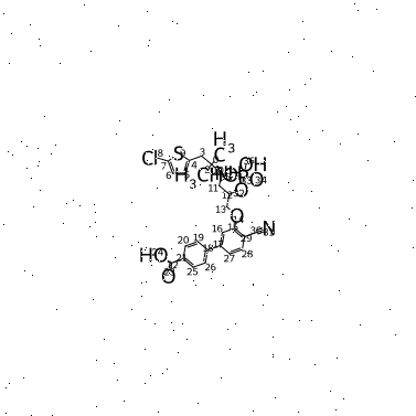 CC(C)(Cc1ccc(Cl)s1)NCC(COc1cc(-c2ccc(C(=O)O)cc2)ccc1C#N)OP(=O)(O)O